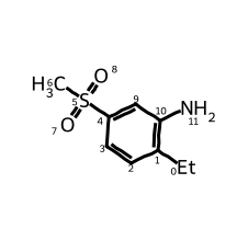 CCc1ccc(S(C)(=O)=O)cc1N